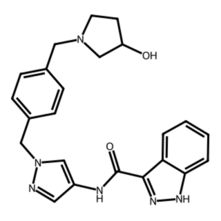 O=C(Nc1cnn(Cc2ccc(CN3CCC(O)C3)cc2)c1)c1n[nH]c2ccccc12